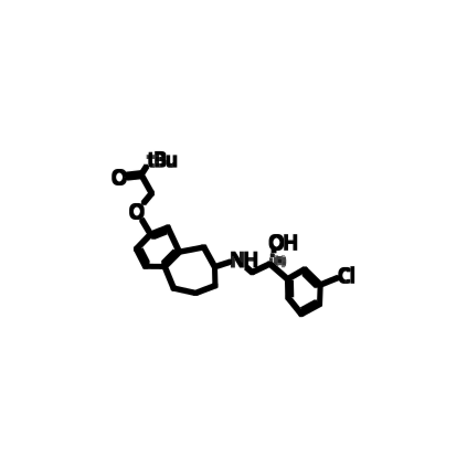 CC(C)(C)C(=O)COc1ccc2c(c1)CC(NC[C@H](O)c1cccc(Cl)c1)CCC2